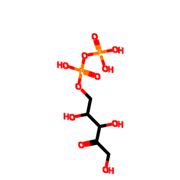 O=C(CO)C(O)C(O)COP(=O)(O)OP(=O)(O)O